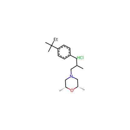 CCC(C)(C)c1ccc(CC(C)CN2C[C@@H](C)O[C@@H](C)C2)cc1.Cl